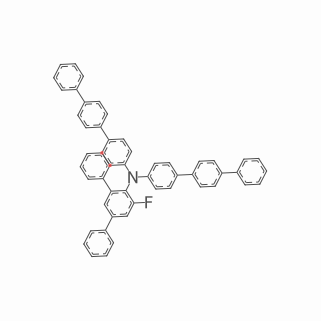 Fc1cc(-c2ccccc2)cc(-c2ccccc2)c1N(c1ccc(-c2ccc(-c3ccccc3)cc2)cc1)c1ccc(-c2ccc(-c3ccccc3)cc2)cc1